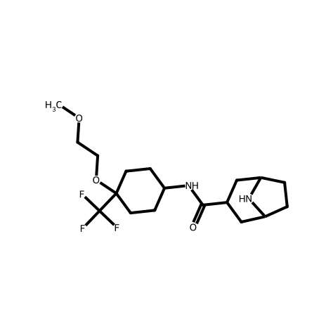 COCCOC1(C(F)(F)F)CCC(NC(=O)C2CC3CCC(C2)N3)CC1